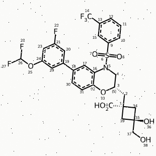 O=C(O)[C@]1(C[C@H]2CN(S(=O)(=O)c3cccc(C(F)(F)F)c3)c3cc(-c4cc(F)cc(OC(F)F)c4)ccc3O2)C[C@](O)(CO)C1